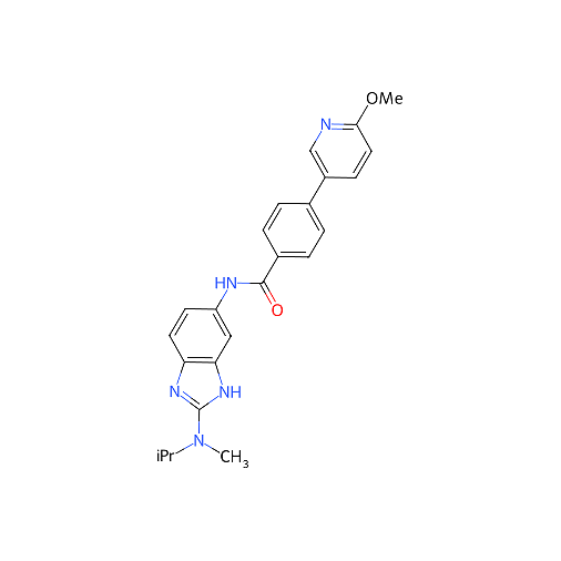 COc1ccc(-c2ccc(C(=O)Nc3ccc4nc(N(C)C(C)C)[nH]c4c3)cc2)cn1